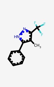 Cc1c(C(F)(F)F)n[nH]c1-c1cc[c]cc1